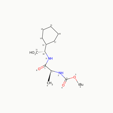 C[C@H](NC(=O)OC(C)(C)C)C(=O)N[C@H](C(=O)O)C1CCCCC1